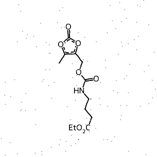 CCOC(=O)CC[CH]NC(=O)OCc1oc(=O)oc1C